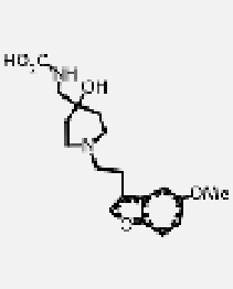 COc1ccc2occ(CCN3CCC(O)(CNC(=O)O)CC3)c2c1